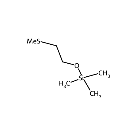 [CH]SCCO[Si](C)(C)C